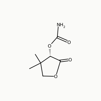 CC1(C)COC(=O)[C@H]1OC(N)=O